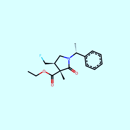 CCOC(=O)[C@@]1(C)C(=O)N([C@H](C)c2ccccc2)C[C@@H]1CF